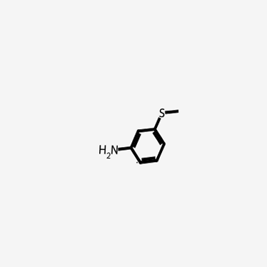 CSc1cc[c]c(N)c1